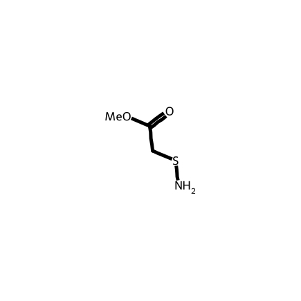 COC(=O)CSN